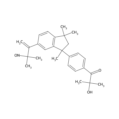 C=C(c1ccc2c(c1)C(C)(c1ccc(C(=O)C(C)(C)O)cc1)CC2(C)C)C(C)(C)N=O